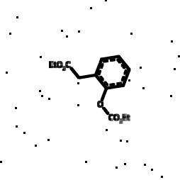 CCOC(=O)Cc1ccccc1OC(=O)OCC